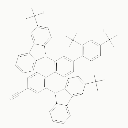 N#Cc1ccc(-c2ccc(-c3ccc(C(F)(F)F)cc3C(F)(F)F)cc2-n2c3ccccc3c3cc(C(F)(F)F)ccc32)c(-n2c3ccccc3c3cc(C(F)(F)F)ccc32)c1